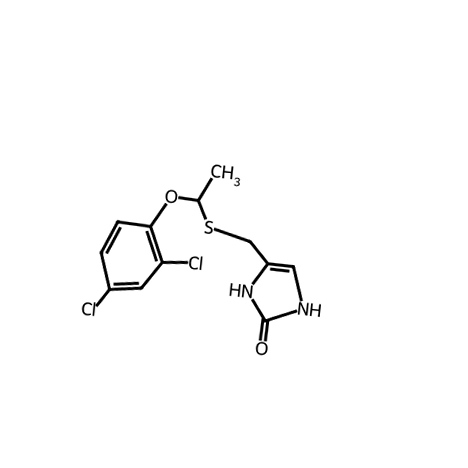 CC(Oc1ccc(Cl)cc1Cl)SCc1c[nH]c(=O)[nH]1